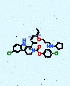 C=C(/C=C\C(=C/C)OCCCNC1CCCC1)[C@H]1c2[nH]c3ccc(Cl)cc3c2CCN1C(=O)Oc1ccc(Cl)cc1